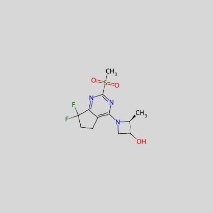 C[C@H]1C(O)CN1c1nc(S(C)(=O)=O)nc2c1CCC2(F)F